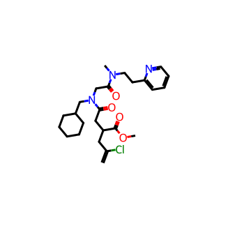 C=C(Cl)CC(CC(=O)N(CC(=O)N(C)CCc1ccccn1)CC1CCCCC1)C(=O)OC